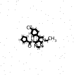 CCn1cc(-c2ccc(Cl)cc2)c2c(NC(=O)C3CCCC3)ncnc21